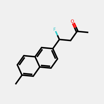 CC(=O)CC(F)c1ccc2cc(C)ccc2c1